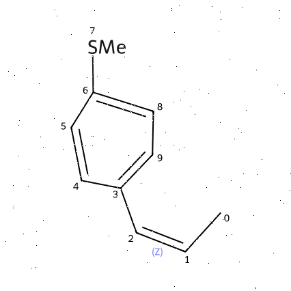 C/C=C\c1ccc(SC)cc1